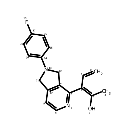 C=C/C(=C(\C)O)c1nccc2c1CN(c1ccc(F)cc1)C2